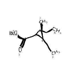 CC(C)COC(=O)C1C(C)C1(C)C